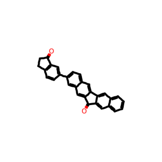 O=C1CCc2ccc(-c3ccc4cc5c(cc4c3)C(=O)c3cc4ccccc4cc3-5)cc21